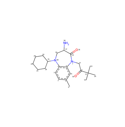 Cc1ccc2c(c1)N(CC(=O)C(C)(C)C)C(=O)C(N)CN2C1CCCCC1